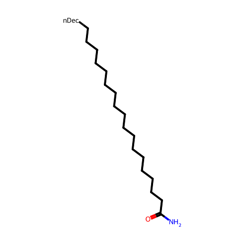 CCCCCCCCCCCCCCCCCCCCCCCCCCCC(N)=O